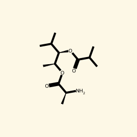 CC(C)C(=O)O[C@H](C(C)C)[C@H](C)OC(=O)[C@H](C)N